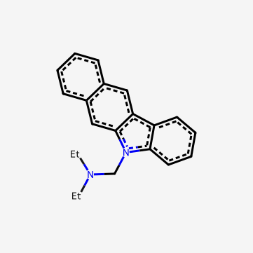 CCN(CC)Cn1c2ccccc2c2cc3ccccc3cc21